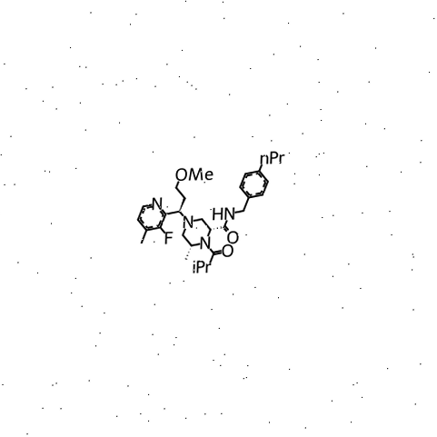 CCCc1ccc(CNC(=O)[C@H]2CN([C@H](CCOC)c3nccc(C)c3F)C[C@@H](C)N2C(=O)C(C)C)cc1